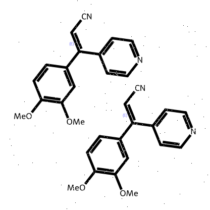 COc1ccc(/C(=C/C#N)c2ccncc2)cc1OC.COc1ccc(/C(=C/C#N)c2ccncc2)cc1OC